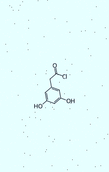 O=C(Cl)Cc1cc(O)cc(O)c1